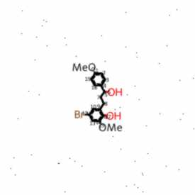 COc1ccc(C(O)CCc2cc(Br)cc(OC)c2O)cc1